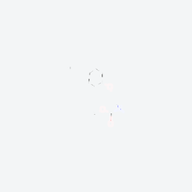 CN(CCOc1ccc(C=O)cc1Cl)C(=O)OC(C)(C)C